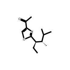 CC[C@@H](c1nc(C(C)=O)co1)[C@@H](C)C(C)C